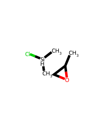 CC1CO1.C[SiH](C)Cl